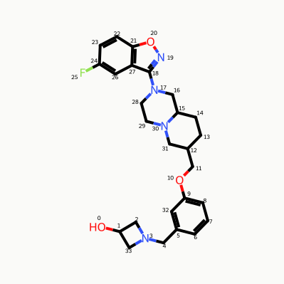 OC1CN(Cc2cccc(OCC3CCC4CN(c5noc6ccc(F)cc56)CCN4C3)c2)C1